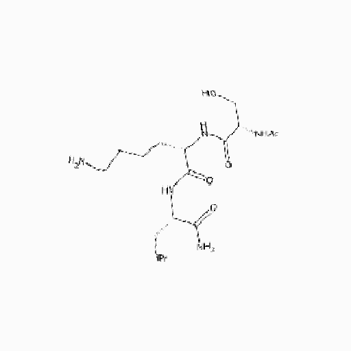 CC(=O)N[C@@H](CO)C(=O)N[C@@H](CCCCN)C(=O)N[C@@H](CC(C)C)C(N)=O